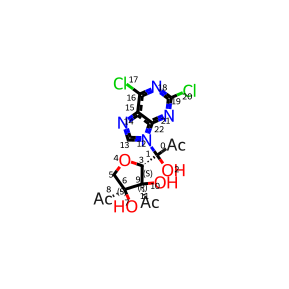 CC(=O)C(O)([C@H]1OC[C@@](O)(C(C)=O)[C@@]1(O)C(C)=O)n1cnc2c(Cl)nc(Cl)nc21